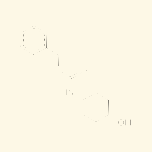 O=C(N[C@H]1CC[C@@H](O)CC1)OCc1ccccc1